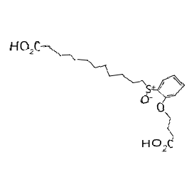 O=C(O)CCCCCCCCCCC[S+]([O-])c1ccccc1OCCCC(=O)O